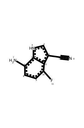 N#Cc1c[nH]c2c(N)ccc(F)c12